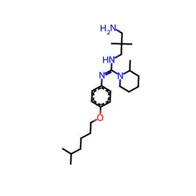 CC(C)CCCCOc1ccc(/N=C(/NCC(C)(C)CN)N2CCCCC2C)cc1